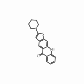 O=c1c2ccccc2[nH]c2cc3sc(N4CCCCC4)nc3cc12